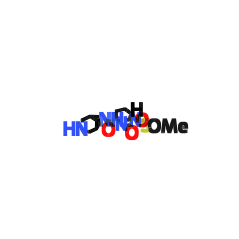 COSON1C(=O)N2C[C@H]1CC[C@H]2C(=O)NC1C2CCC1CNC2